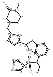 CCN(c1cccc2c1NC(c1ncc(CN3CCN(C)C(=O)C3)s1)C2)S(=O)(=O)c1cccs1